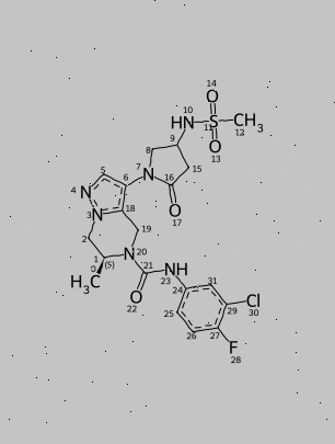 C[C@H]1Cn2ncc(N3CC(NS(C)(=O)=O)CC3=O)c2CN1C(=O)Nc1ccc(F)c(Cl)c1